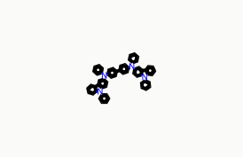 C1=CCCC(N2c3ccccc3C3=CC(N(c4ccc(-c5ccc(N(c6ccccc6)c6ccc7c(c6)C6C=CC=CC6N7c6ccccc6)cc5)cc4)C4C=CC=CC4)=CCC32)=C1